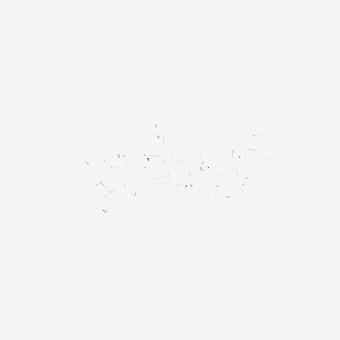 C=CC(=O)Nc1cccc(C)c1Nc1cc2c(N(C)C)nc(-c3c(Cl)c(OC)cc(OC)c3Cl)cc2cn1